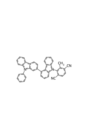 Cc1c(C#N)ccc(C#N)c1-n1c2ccccc2c2c(-c3ccc4c5ccccc5n(-c5ccccc5)c4c3)cccc21